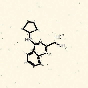 Cl.NCc1nc(NC2CCCC2)c2ccccc2n1